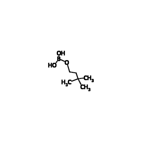 CC(C)(C)CCOB(O)O